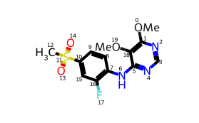 COc1ncnc(Nc2ccc(S(C)(=O)=O)cc2F)c1OC